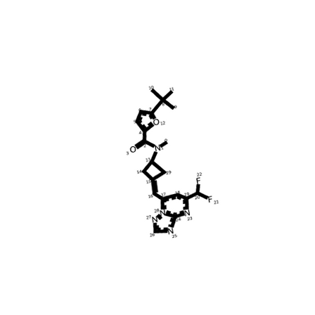 CN(C(=O)c1ccc(C(C)(C)C)o1)C1CC(=Cc2cc(C(F)F)nc3ncnn23)C1